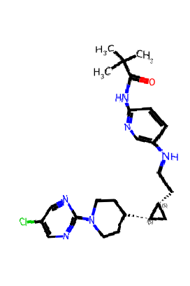 CC(C)(C)C(=O)Nc1ccc(NCC[C@@H]2C[C@@H]2C2CCN(c3ncc(Cl)cn3)CC2)cn1